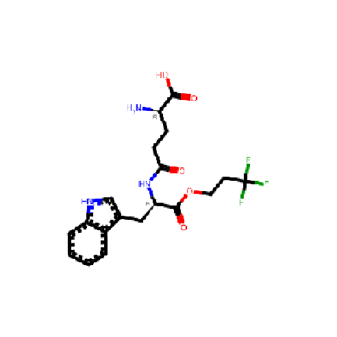 N[C@H](CCC(=O)N[C@H](Cc1c[nH]c2ccccc12)C(=O)OCCC(F)(F)F)C(=O)O